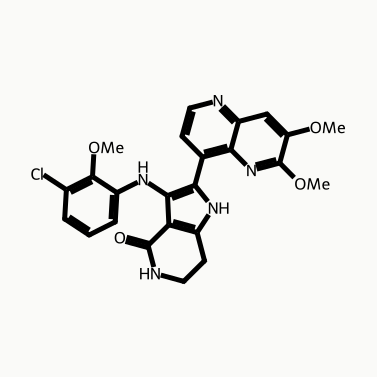 COc1cc2nccc(-c3[nH]c4c(c3Nc3cccc(Cl)c3OC)C(=O)NCC4)c2nc1OC